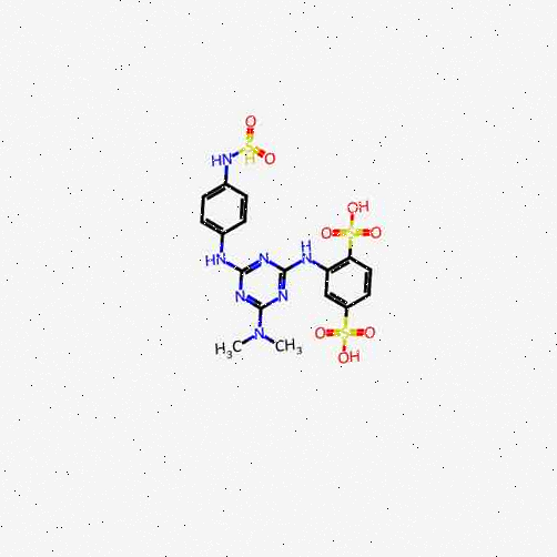 CN(C)c1nc(Nc2ccc(N[SH](=O)=O)cc2)nc(Nc2cc(S(=O)(=O)O)ccc2S(=O)(=O)O)n1